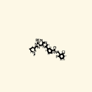 CN1CCCC(c2n[nH]c(-c3nc(-c4cccc(C(=O)NCc5c(F)cccc5Cl)c4)cnc3N)n2)C1